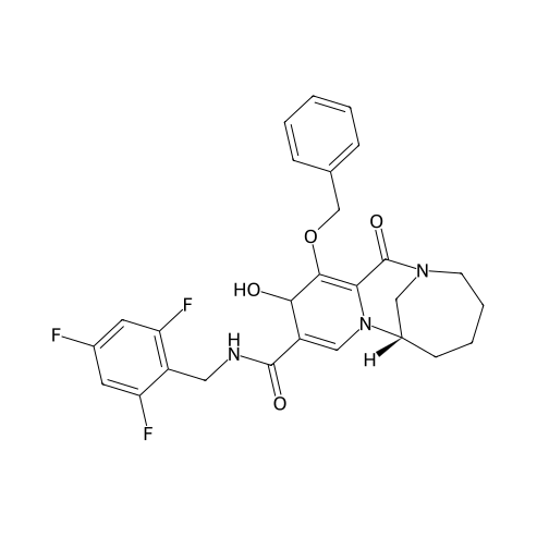 O=C(NCc1c(F)cc(F)cc1F)C1=CN2C(=C(OCc3ccccc3)C1O)C(=O)N1CCCC[C@H]2C1